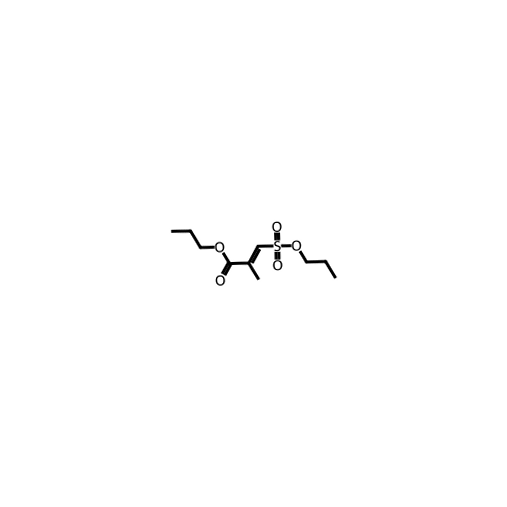 CCCOC(=O)C(C)=CS(=O)(=O)OCCC